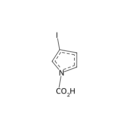 O=C(O)n1ccc(I)c1